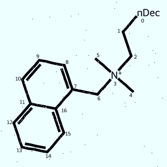 CCCCCCCCCCCC[N+](C)(C)Cc1cccc2ccccc12